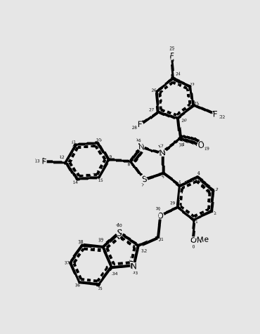 COc1cccc(C2SC(c3ccc(F)cc3)=NN2C(=O)c2c(F)cc(F)cc2F)c1OCc1nc2ccccc2s1